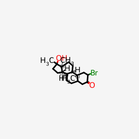 CC1(O)CC[C@H]2[C@@H]3CCC4CC(=O)C(Br)C[C@]4(C)[C@@H]3CC[C@@]21C